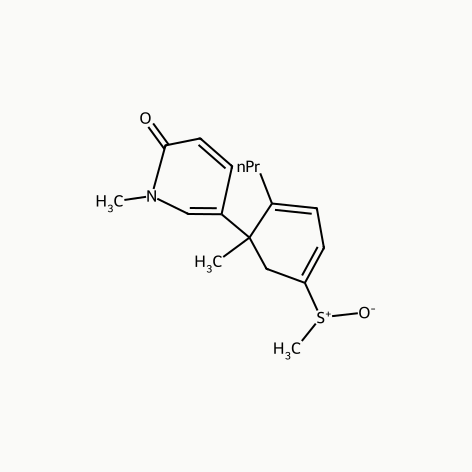 CCCC1=CC=C([S+](C)[O-])CC1(C)c1ccc(=O)n(C)c1